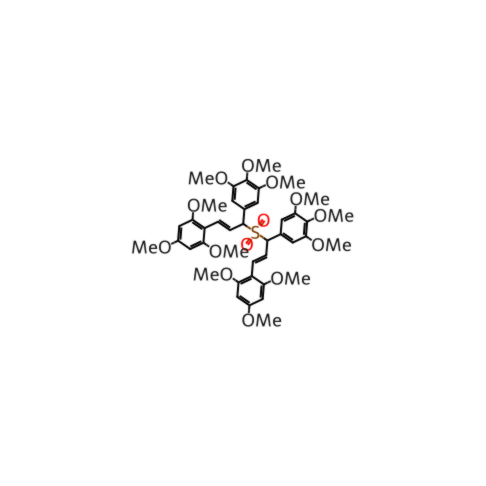 COc1cc(OC)c(/C=C/C(c2cc(OC)c(OC)c(OC)c2)S(=O)(=O)C(/C=C/c2c(OC)cc(OC)cc2OC)c2cc(OC)c(OC)c(OC)c2)c(OC)c1